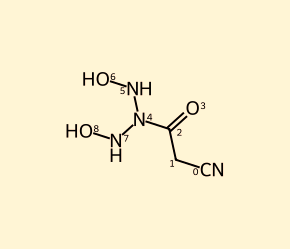 N#CCC(=O)N(NO)NO